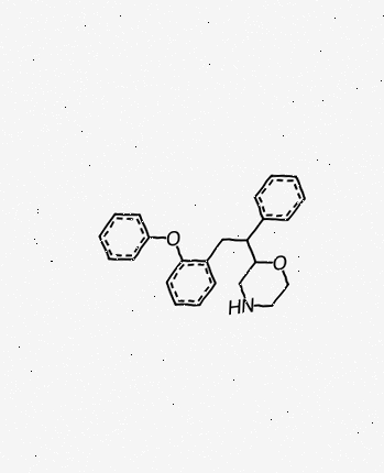 c1ccc(Oc2ccccc2CC(c2ccccc2)C2CNCCO2)cc1